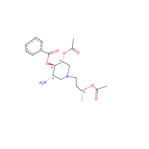 CC(=O)O[C@H](C)CCN1C[C@H](N)[C@@H](OC(=O)c2ccccc2)[C@H](OC(C)=O)C1